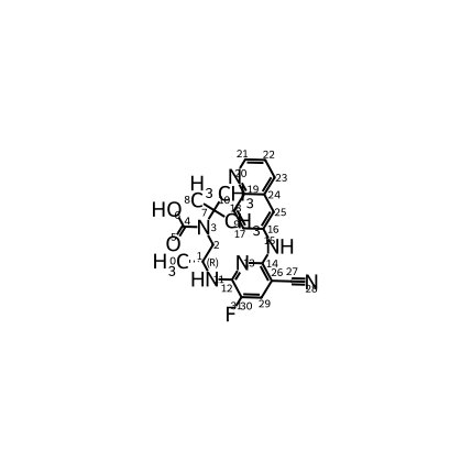 C[C@H](CN(C(=O)O)C(C)(C)C)Nc1nc(Nc2ccc3ncccc3c2)c(C#N)cc1F